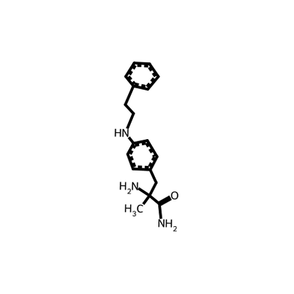 CC(N)(Cc1ccc(NCCc2ccccc2)cc1)C(N)=O